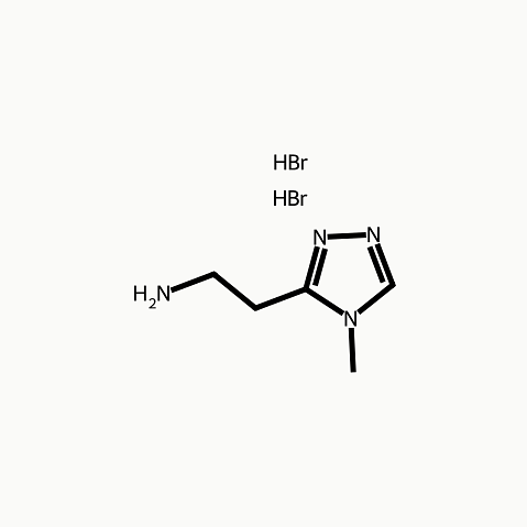 Br.Br.Cn1cnnc1CCN